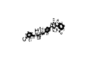 Cn1c(-c2ccccc2C(F)(F)F)nnc1C12CCC(CNC(=O)NCc3cccc(Cl)c3Cl)(CC1)CC2